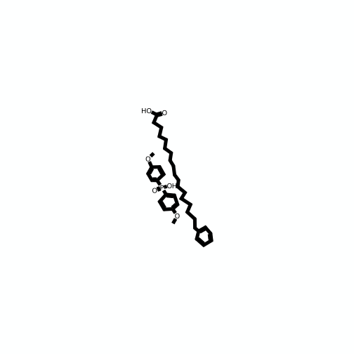 COc1ccc(P(=O)(O)c2ccc(OC)cc2)cc1.O=C(O)CCCCCCCCCCCCCCCCCc1ccccc1